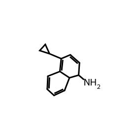 NC1C=CC(C2CC2)=C2C=CC=CC21